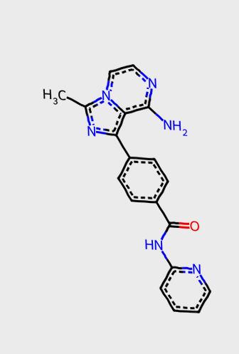 Cc1nc(-c2ccc(C(=O)Nc3ccccn3)cc2)c2c(N)nccn12